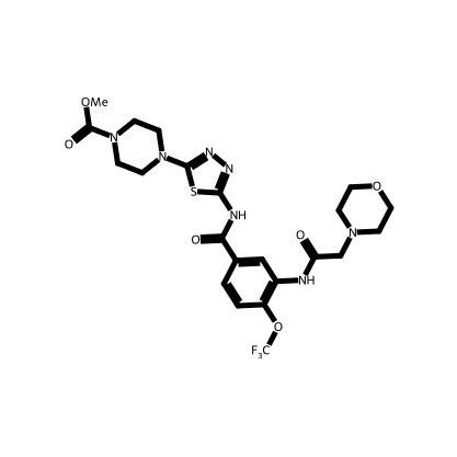 COC(=O)N1CCN(c2nnc(NC(=O)c3ccc(OC(F)(F)F)c(NC(=O)CN4CCOCC4)c3)s2)CC1